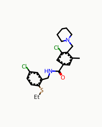 CCSc1ccc(Cl)cc1CNC(=O)c1cc(C)c(CN2CCCCC2)c(Cl)c1